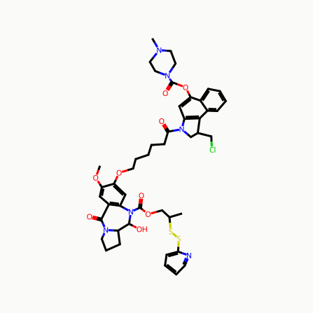 COc1cc2c(cc1OCCCCCC(=O)N1CC(CCl)c3c1cc(OC(=O)N1CCN(C)CC1)c1ccccc31)N(C(=O)OCC(C)SSc1ccccn1)C(O)C1CCCN1C2=O